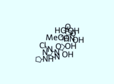 COC[C@@](OC[C@H]1O[C@@H](n2ncc3c(NC4CCCC4)nc(Cl)nc32)[C@H](O)[C@@H]1O)(C(=O)NO)P(=O)(O)O